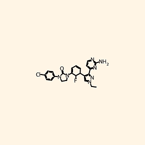 CCn1cc(C2C=CC=C(N3CCN(c4ccc(Cl)cc4)C3=O)C2F)c(-c2ccnc(N)n2)n1